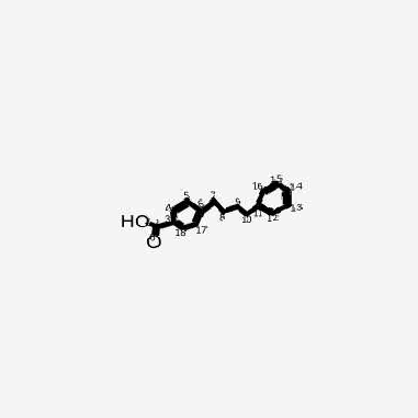 O=C(O)c1ccc(CCCCc2ccccc2)cc1